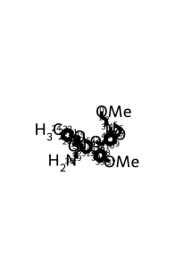 COCCCN1CCOc2ccc(CO[C@H]3CN(S(=O)(=O)c4ccc(C)cc4)[C@@H](CCN)C[C@@H]3c3ccc(OC)cc3)cc21